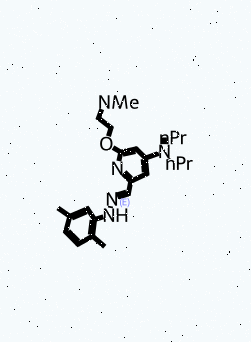 CCCN(CCC)c1cc(/C=N/Nc2cc(C)ccc2C)nc(OCCNC)c1